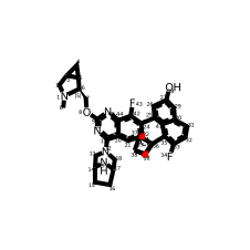 CN1CC2CC2[C@H]1COc1nc(N2CC3CCC(C2)N3)c2cc(Cl)c(-c3cc(O)cc4ccc(F)c(C56CC(C5)C6)c34)c(F)c2n1